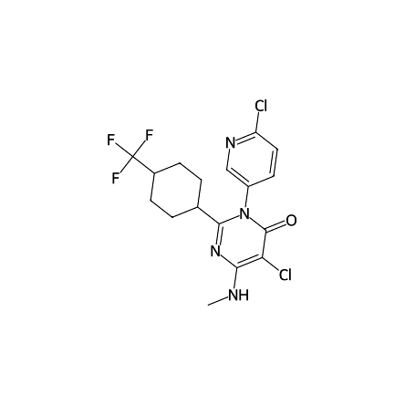 CNc1nc(C2CCC(C(F)(F)F)CC2)n(-c2ccc(Cl)nc2)c(=O)c1Cl